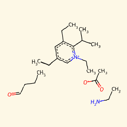 CC(=O)[O-].CCCC=O.CCN.CCc1cc(CC)c(C(C)C)[n+](CC)c1